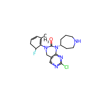 CC1=C(N2Cc3cnc(Cl)nc3N([C@@H]3CCCNCC3)C2=O)C(F)CC=C1